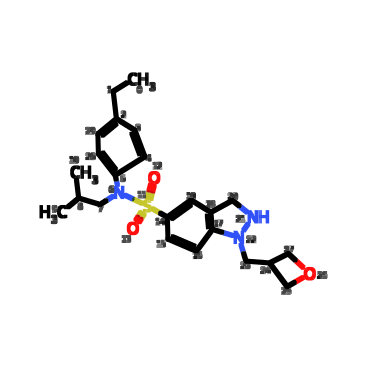 CCc1ccc(N(CC(C)C)S(=O)(=O)c2ccc3c(c2)CNN3CC2COC2)cc1